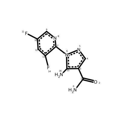 NC(=O)c1cnn(-c2ncc(F)cc2F)c1N